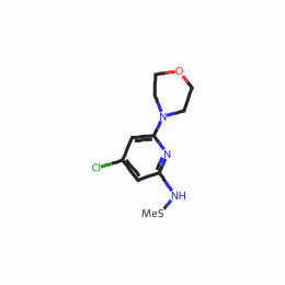 CSNc1cc(Cl)cc(N2CCOCC2)n1